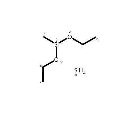 CCO[Si](C)OCC.[SiH4]